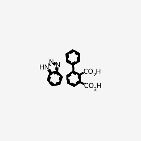 O=C(O)c1cccc(-c2ccccc2)c1C(=O)O.c1ccc2[nH]nnc2c1